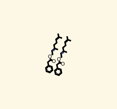 CC(C)=CCC/C(C)=C/COC(=O)Cc1ccccc1.CC(C)=CCC/C(C)=C/COC(=O)Cc1ccccc1